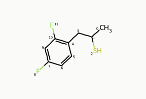 CC(S)Cc1ccc(F)cc1F